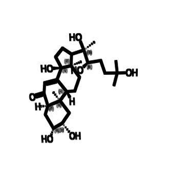 CC(C)(O)CC[C@@H](O)[C@](C)(O)C1CC[C@@]2(O)C3=CC(=O)[C@@H]4C[C@@H](O)[C@@H](O)C[C@]4(C)[C@H]3CC[C@]12C